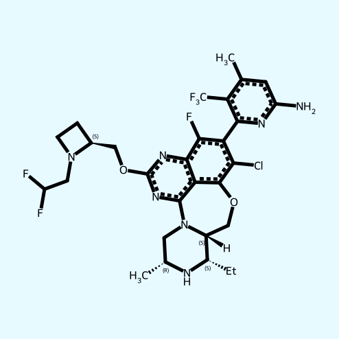 CC[C@@H]1N[C@H](C)CN2c3nc(OC[C@@H]4CCN4CC(F)F)nc4c(F)c(-c5nc(N)cc(C)c5C(F)(F)F)c(Cl)c(c34)OC[C@H]12